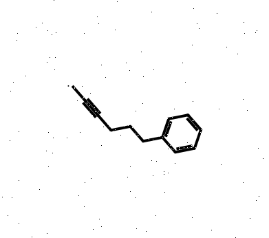 [CH2]C#CCCCc1ccccc1